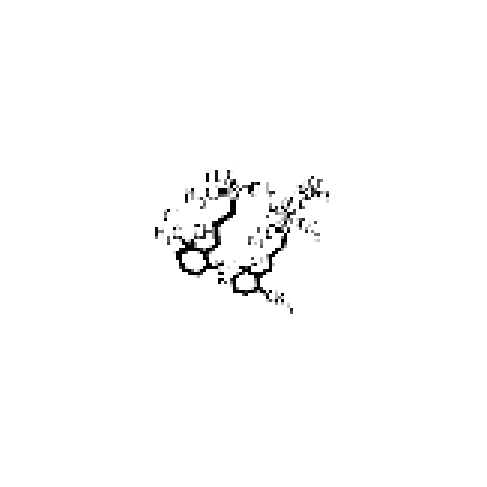 CC1CCCC(C)(C)C1CCC[N+](C)(C)C.CC1CCCC(C)(C)C1CCC[N+](C)(C)C.CCCCCC.[Cl-].[Cl-]